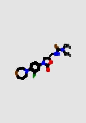 CN(C)C(=S)NC[C@H]1CN(c2ccc(N3CCCSCC3)c(F)c2)C(=O)O1